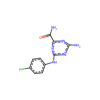 NC(=O)c1nc(N)nc(Nc2ccc(F)cc2)n1